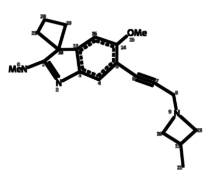 CNC1=Nc2cc(C#CCN3CC(C)C3)c(OC)cc2C12CCC2